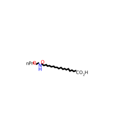 CCCOCCNC(=O)CCCCCCCCCCCCCCCCCCC(=O)O